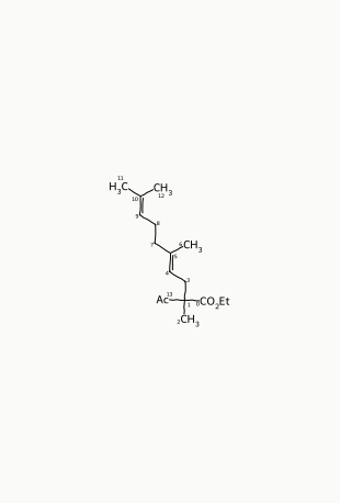 CCOC(=O)C(C)(C/C=C(\C)CCC=C(C)C)C(C)=O